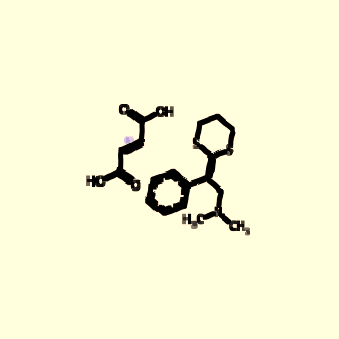 CN(C)CC(=C1SCCCS1)c1ccccc1.O=C(O)/C=C/C(=O)O